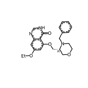 CCOc1cc(OC[C@H]2COCCN2Cc2ccccc2)c2c(=O)[nH]cnc2c1